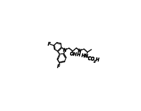 CC(CNCC(O)Cn1c2ccc(F)cc2c2cc(F)ccc21)NC(=O)O